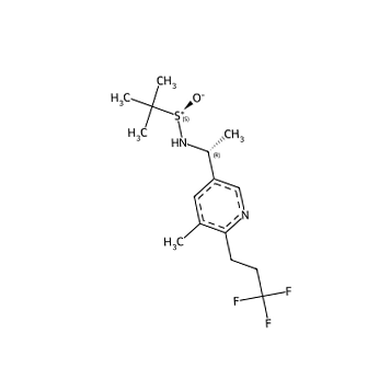 Cc1cc([C@@H](C)N[S@+]([O-])C(C)(C)C)cnc1CCC(F)(F)F